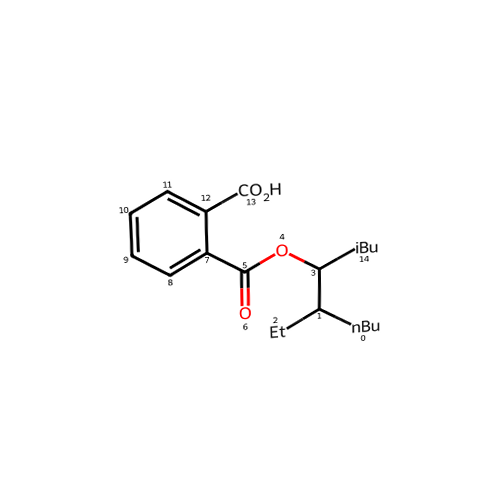 CCCCC(CC)C(OC(=O)c1ccccc1C(=O)O)C(C)CC